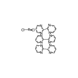 [Cl][Ru][Cl].c1cnc(-c2ncccn2)nc1.c1cnc(-c2ncccn2)nc1.c1cnc(-c2ncccn2)nc1